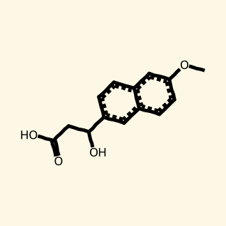 COc1ccc2cc(C(O)CC(=O)O)ccc2c1